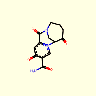 NC(=O)c1cn2c(cc1=O)C(=O)N1CCCC(=O)C2C1